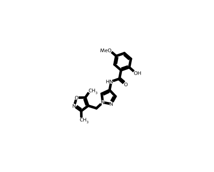 COc1ccc(O)c(C(=O)Nc2cnn(Cc3c(C)noc3C)c2)c1